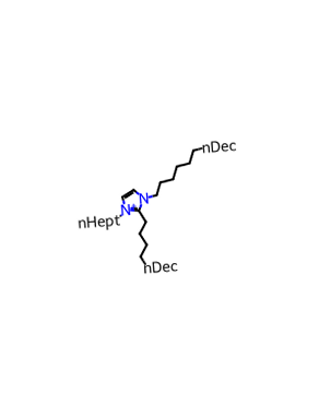 CCCCCCCCCCCCCCCCn1cc[n+](CCCCCCC)c1CCCCCCCCCCCCCC